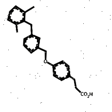 Cc1cccc(C)c1Cc1cccc(COc2ccc(CCC(=O)O)cc2)c1